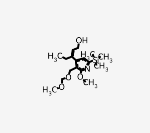 CC/C(=C/CO)c1cc([Si](C)(C)C)nc(OC)c1COCOC